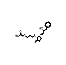 O=C(O)CSCCCS[C@H]1C(=O)CC[C@H]1C=C[C@H](O)Cc1ccccc1